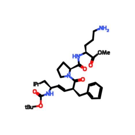 COC(=O)[C@H](CCCN)NC(=O)[C@@H]1CCCN1C(=O)[C@H](/C=C/[C@H](CC(C)C)NC(=O)OC(C)(C)C)Cc1ccccc1